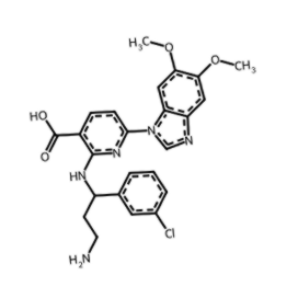 COc1cc2ncn(-c3ccc(C(=O)O)c(NC(CCN)c4cccc(Cl)c4)n3)c2cc1OC